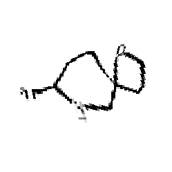 [2H][C@H]1CC[C@@]2(CCO2)CN1